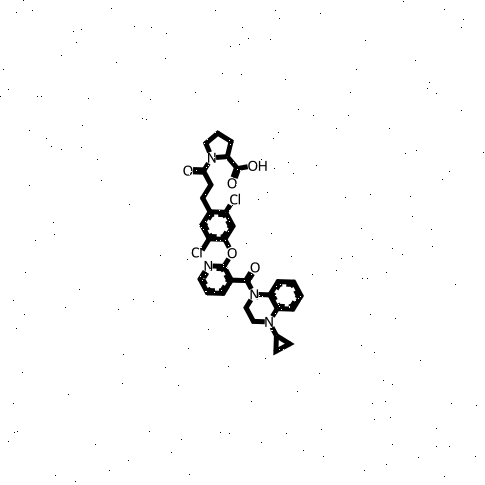 O=C(O)C1CCCN1C(=O)CCc1cc(Cl)c(Oc2ncccc2C(=O)N2CCN(C3CC3)c3ccccc32)cc1Cl